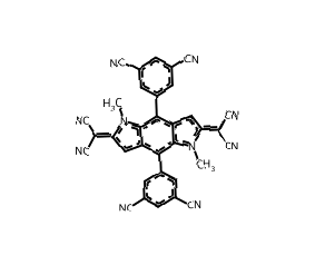 Cn1c(=C(C#N)C#N)cc2c(-c3cc(C#N)cc(C#N)c3)c3c(cc(=C(C#N)C#N)n3C)c(-c3cc(C#N)cc(C#N)c3)c21